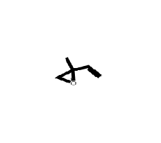 C=CC1(C)CO1